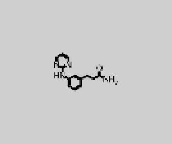 NC(=O)CCc1cccc(Nc2ncccn2)c1